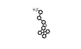 Cc1cccc(-c2cccc(-c3ccc4sc5cc6c(cc5c4c3)-c3ccccc3C63c4ccccc4-c4ccccc43)c2)c1